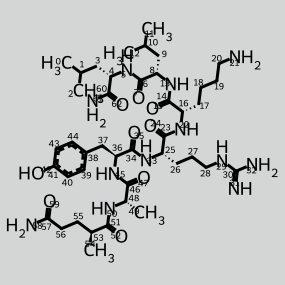 CC(C)C[C@H](NC(=O)[C@H](CC(C)C)NC(=O)[C@H](CCCCN)NC(=O)[C@H](CCCNC(=N)N)NC(=O)[C@H](Cc1ccc(O)cc1)NC(=O)[C@H](C)NC(=O)[C@@H](C)CCC(N)=O)C(N)=O